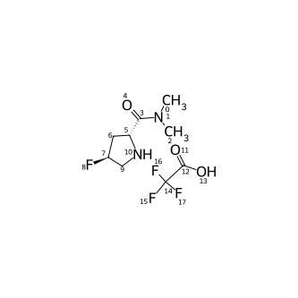 CN(C)C(=O)[C@H]1C[C@H](F)CN1.O=C(O)C(F)(F)F